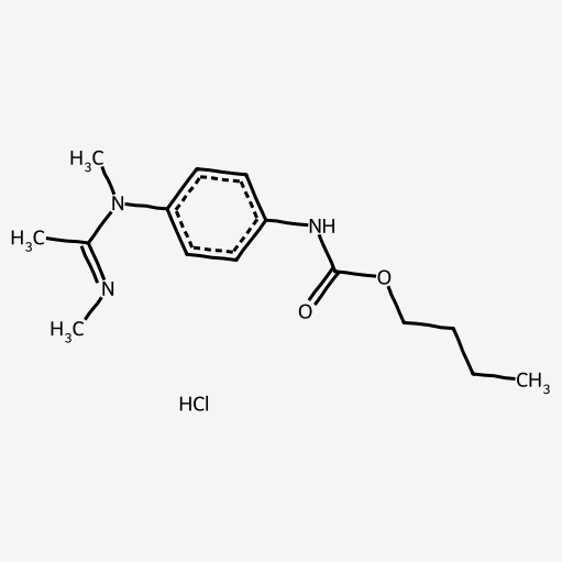 CCCCOC(=O)Nc1ccc(N(C)C(C)=NC)cc1.Cl